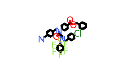 N#Cc1ccc(CN(C(=O)CN(Cc2ccc(Cl)cc2)Sc2c(F)c(F)c(F)c(F)c2F)c2ccc(C(=O)OCc3ccccc3)cc2)cc1